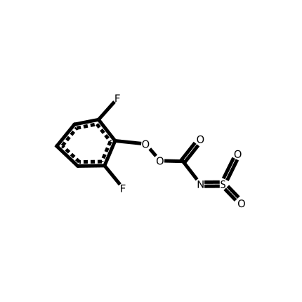 O=C(N=S(=O)=O)OOc1c(F)cccc1F